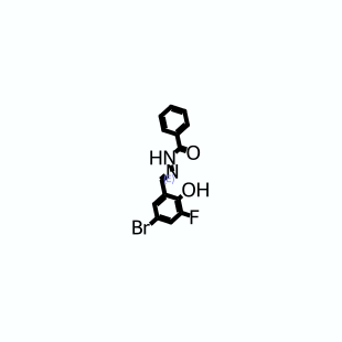 O=C(N/N=C/c1cc(Br)cc(F)c1O)c1ccccc1